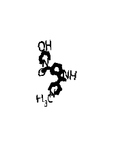 CN1CC=C(c2c[nH]c3ccc(C(=O)N4CCC(O)CC4)cc23)CC1